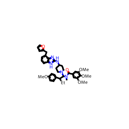 CCC(c1ccc(OC)cc1)C(N1CCC(Nc2nc3c(Cc4ccco4)cccc3[nH]2)CC1)N(C)C(=O)c1cc(OC)c(OC)c(OC)c1